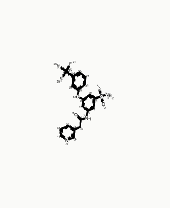 NS(=O)(=O)c1cc(NC(=O)Cc2cccnc2)cc(Oc2cccc(C(F)(F)F)c2)c1